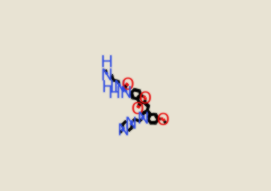 CNCCCNC(=O)Nc1ccc2c(c1)C(=O)C(=Cc1cn(CCN3CCN(C)CC3)c3ccc(OC)cc13)O2